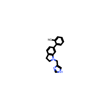 N#Cc1ccccc1-c1ccc2c(c1)N(Cc1c[nH]cn1)CC2